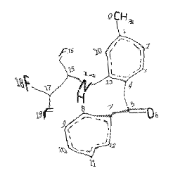 Cc1ccc(C(=O)c2ccccc2)c(NC(F)C(F)F)c1